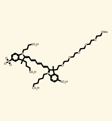 COCCOCCOCCOCCOCCOCCC1(C)C(/C=C/C=C/C=C/C=C2/N(CCCS(=O)(=O)O)c3ccc(S(=O)(=O)[O-])cc3C2(C)CCCS(=O)(=O)O)=[N+](CCCCCC(=O)O)c2ccc(S(=O)(=O)O)cc21